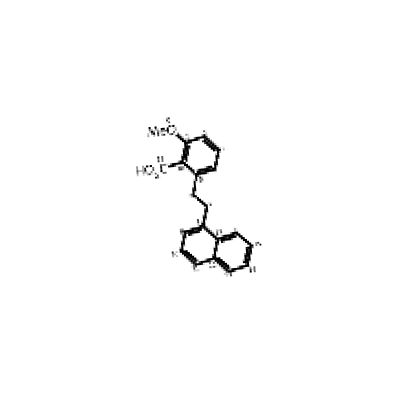 COc1cccc(CCc2cccc3ccccc23)c1C(=O)O